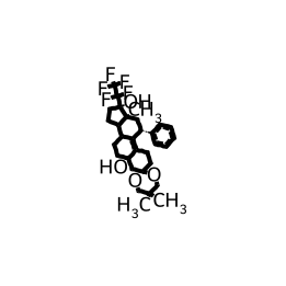 CC1(C)COC2(CCC3=C4C(CCC3(O)C2)C2CC[C@@](O)(C(F)(F)C(F)(F)F)[C@@]2(C)C[C@@H]4c2ccccc2)OC1